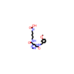 COc1cccc(CNC(=O)c2cc(C(=O)NCCCCC[N]C(=O)O)ncn2)c1